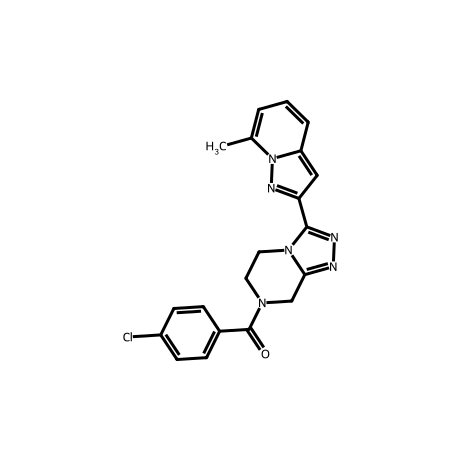 Cc1cccc2cc(-c3nnc4n3CCN(C(=O)c3ccc(Cl)cc3)C4)nn12